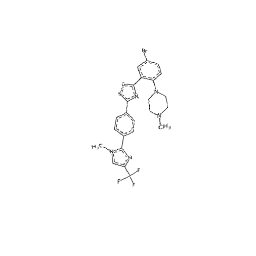 CN1CCN(c2ccc(Br)cc2-c2nc(-c3ccc(-c4nc(C(F)(F)F)cn4C)cc3)no2)CC1